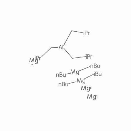 CC(C)[CH2][Al]([CH2]C(C)C)[CH2]C(C)C.CCC[CH2][Mg][CH2]CCC.CCC[CH2][Mg][CH](C)CC.[Mg].[Mg].[Mg]